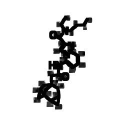 CCCCN(CC)C(=O)c1cn2c(NC(=O)CC34CC5CC5C5(CC5C3)C4)cccc2n1